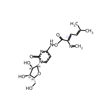 C=N/C(=C\C=C(C)C)C(=O)ONc1ccn([C@@H]2O[C@H](CO)[C@@H](O)[C@H]2O)c(=O)n1